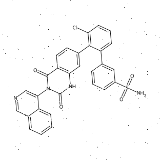 NS(=O)(=O)c1cccc(-c2cccc(Cl)c2-c2ccc3c(=O)n(-c4cncc5ccccc45)c(=O)[nH]c3c2)c1